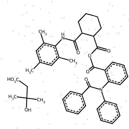 CC(C)(O)CC(=O)O.Cc1cc(C)c(NC(=O)C2CCCCC2C(=O)OC(=O)c2ccccc2N(C(=O)c2ccccc2)c2ccccc2)c(C)c1